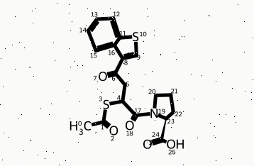 CC(=O)SC(CC(=O)c1csc2ccccc12)C(=O)N1CCC[C@H]1C(=O)O